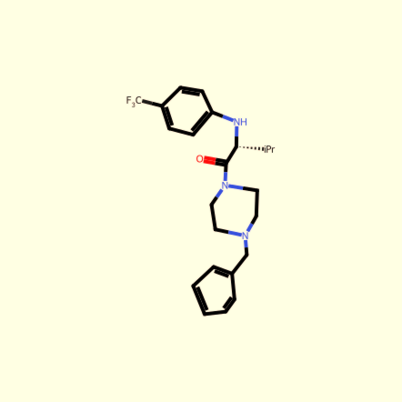 CC(C)[C@@H](Nc1ccc(C(F)(F)F)cc1)C(=O)N1CCN(Cc2ccccc2)CC1